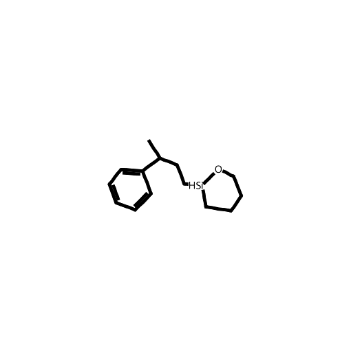 CC(CC[SiH]1CCCCO1)c1ccccc1